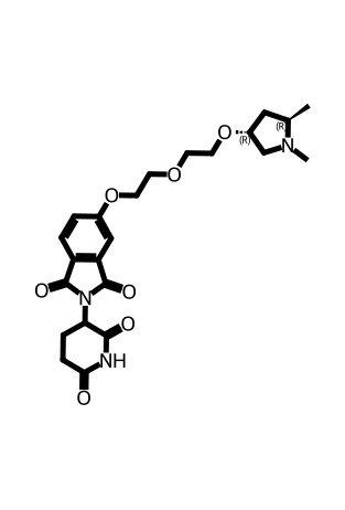 C[C@@H]1C[C@@H](OCCOCCOc2ccc3c(c2)C(=O)N(C2CCC(=O)NC2=O)C3=O)CN1C